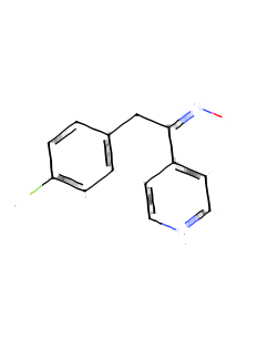 O/N=C(/Cc1ccc(F)cc1)c1ccncc1